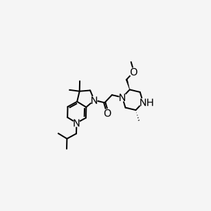 COC[C@H]1CN[C@H](C)CN1CC(=O)N1CC(C)(C)C2=CCN(CC(C)C)C=C21